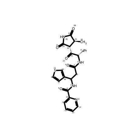 CC(C)[C@H](NC(=O)CC(NC(=O)c1ccccn1)c1ccsc1)C(=O)[C@@H]1C(=O)NC(=O)[C@H]1C